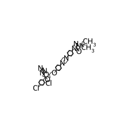 CC[C@@H](C)n1ncn(-c2ccc(N3CCN(c4ccc(OCC5COC(Cn6cncn6)(c6ccc(Cl)cc6Cl)O5)cc4)CC3)cc2)c1=O